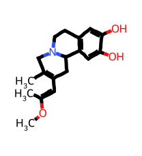 CO/C(C)=C/C1=C(C)CN2CCc3cc(O)c(O)cc3C2C1